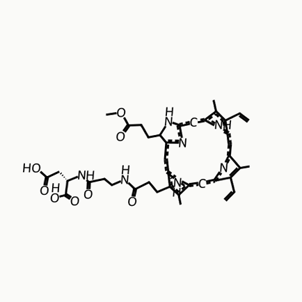 C=CC1=C(C)c2cc3[nH]c(cc4nc(cc5[nH]c(cc1n2)c(C)c5CCC(=O)NCCC(=O)N[C@@H](CC(=O)O)C(=O)O)C(CCC(=O)OC)N4)c(C)c3C=C